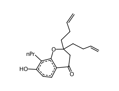 C=CCCC1(CCC=C)CC(=O)c2ccc(O)c(CCC)c2O1